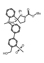 CC(C)[C@@H]1N(C(=O)OC(C)(C)C)CC[C@]1(C=O)c1ccccc1N(C)c1cccc(-c2ccc(CO)c(S(C)(=O)=O)c2)c1